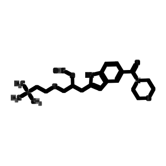 C[Si](C)(C)CCOCC(Cc1cc2cc(C(=O)N3CCOCC3)ccc2[nH]1)OC=O